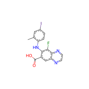 Cc1cc(I)ccc1Nc1c(C(=O)O)cc2nccnc2c1F